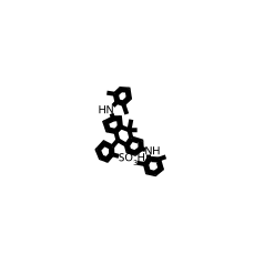 Cc1cccc(C)c1Nc1ccc2c(c1)C(C)(C)c1cc(Nc3c(C)cccc3C)ccc1C2c1ccccc1S(=O)(=O)O